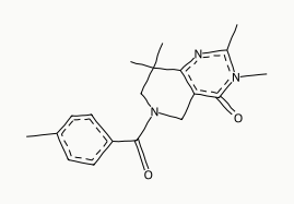 Cc1ccc(C(=O)N2Cc3c(nc(C)n(C)c3=O)C(C)(C)C2)cc1